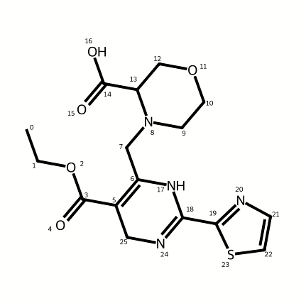 CCOC(=O)C1=C(CN2CCOCC2C(=O)O)NC(c2nccs2)=NC1